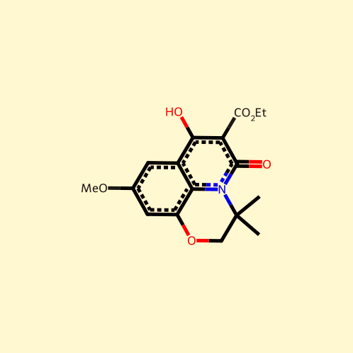 CCOC(=O)c1c(O)c2cc(OC)cc3c2n(c1=O)C(C)(C)CO3